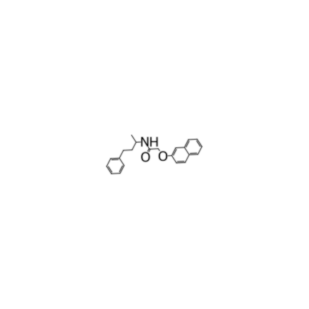 CC(CCc1ccccc1)NC(=O)COc1ccc2ccccc2c1